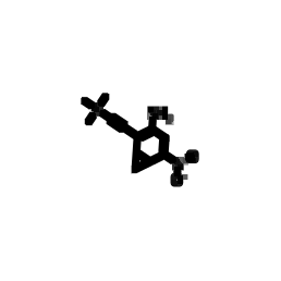 C[Si](C)(C)C#CC1=C(N)C=C([N+](=O)[O-])C2CC12